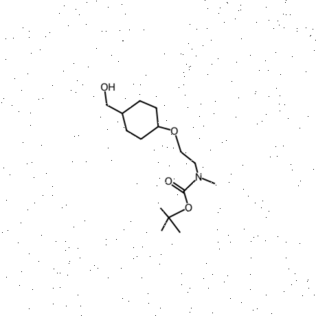 CN(CCOC1CCC(CO)CC1)C(=O)OC(C)(C)C